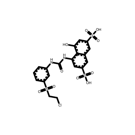 O=C(Nc1cccc(S(=O)(=O)CCCl)c1)Nc1cc(S(=O)(=O)O)cc2cc(S(=O)(=O)O)cc(O)c12